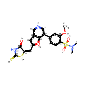 CN(C)S(=O)(=O)c1ccc(-c2cncc3cc(C=C4SC(=S)NC4=O)oc23)cc1OC(F)(F)F